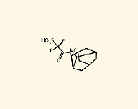 N#CC12CC3CC(C1)C(OC(=O)C(F)(F)S(=O)(=O)O)C(C3)C2